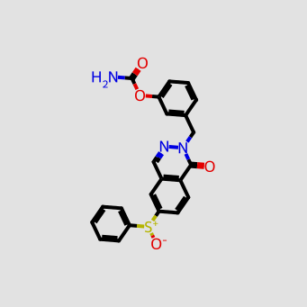 NC(=O)Oc1cccc(Cn2ncc3cc([S+]([O-])c4ccccc4)ccc3c2=O)c1